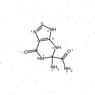 NC(=O)C1(N)NC(=O)c2nc[nH]c2N1